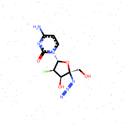 [N-]=[N+]=N[C@]1(CO)O[C@@H](n2ccc(N)nc2=O)[C@H](F)[C@@H]1O